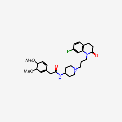 COC1C=CC(CC(=O)NC2CCN(CCCN3C(=O)CCc4ccc(F)cc43)CC2)=CC1OC